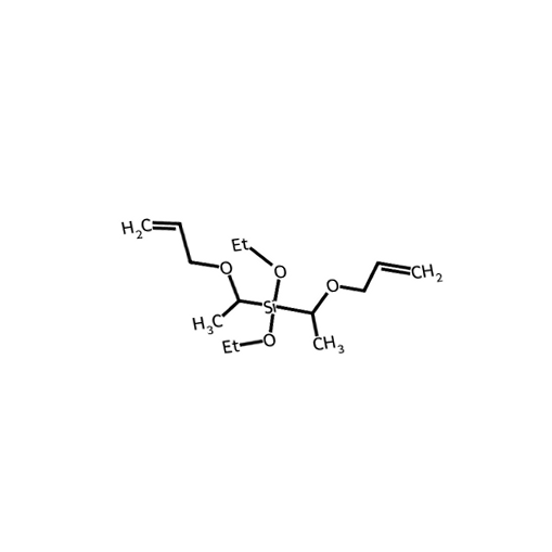 C=CCOC(C)[Si](OCC)(OCC)C(C)OCC=C